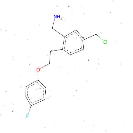 NCc1cc(CCl)ccc1CCOc1ccc(F)cc1